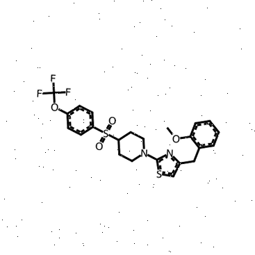 COc1ccccc1Cc1csc(N2CCC(S(=O)(=O)c3ccc(OC(F)(F)F)cc3)CC2)n1